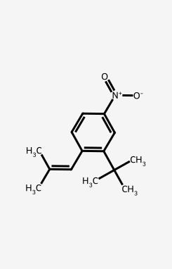 CC(C)=Cc1ccc([N+](=O)[O-])cc1C(C)(C)C